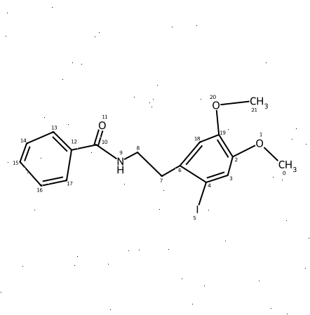 COc1cc(I)c(CCNC(=O)c2ccccc2)cc1OC